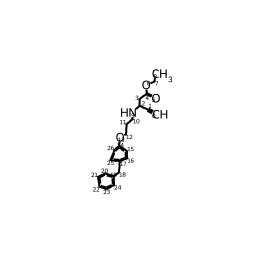 C#CC(CC(=O)OCC)NCCCOc1ccc(Cc2ccccc2)cc1